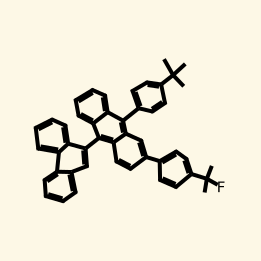 CC(C)(C)c1ccc(-c2c3ccccc3c(-c3cc4ccccc4c4ccccc34)c3ccc(-c4ccc(C(C)(C)F)cc4)cc23)cc1